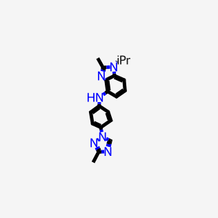 Cc1ncn(-c2ccc(Nc3cccc4c3nc(C)n4C(C)C)cc2)n1